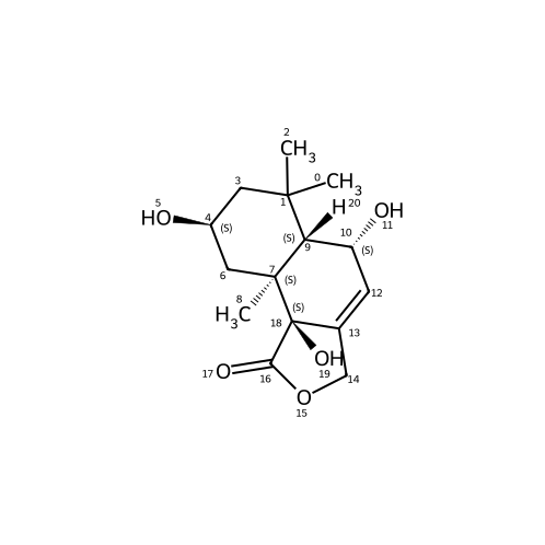 CC1(C)C[C@H](O)C[C@@]2(C)[C@H]1[C@H](O)C=C1COC(=O)[C@@]12O